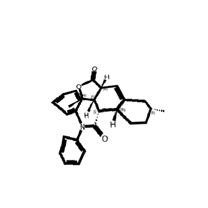 C[C@@H]1CC[C@H]2C(=C[C@H]3C(=O)O[C@H](C)[C@H]3[C@H]2C(=O)N(c2ccccc2)c2ccccc2)C1